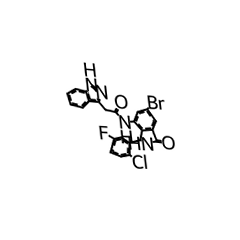 O=C(Cc1n[nH]c2ccccc12)Nc1cc(Br)cc2c1C(c1cc(F)ccc1Cl)NC2=O